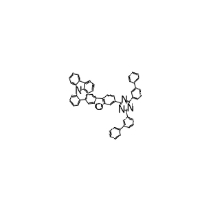 c1ccc(-c2cccc(-c3nc(-c4cccc(-c5ccccc5)c4)nc(-c4ccc5c(c4)oc4cc(-c6ccccc6-n6c7ccccc7c7ccccc76)ccc45)n3)c2)cc1